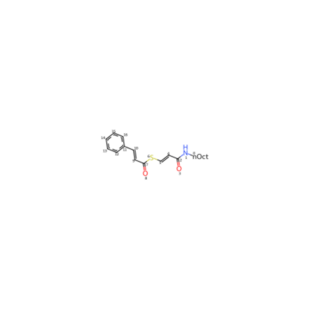 CCCCCCCCNC(=O)C=CSC(=O)C=Cc1ccccc1